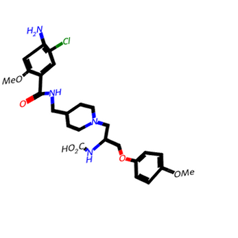 COc1ccc(OCC(CN2CCC(CNC(=O)c3cc(Cl)c(N)cc3OC)CC2)NC(=O)O)cc1